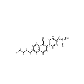 CCCCCc1ccc2c(c1)C=CC(c1ccc(OC(F)F)cc1)C2=O